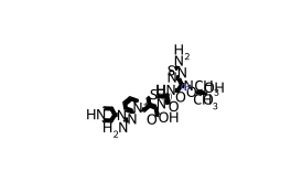 CC(C)(O/N=C(\C(=O)N[C@@H]1C(=O)N2C(C(=O)O)=C(C[n+]3cccc4c3nc(N)n4C3CCNCC3)CS[C@H]12)c1nsc(N)n1)C(=O)O